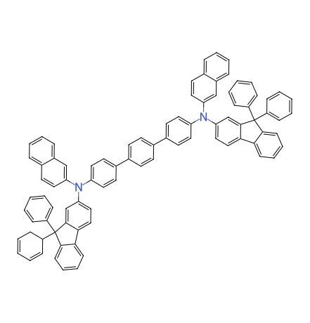 C1=CCC(C2(c3ccccc3)c3ccccc3-c3ccc(N(c4ccc(-c5ccc(-c6ccc(N(c7ccc8c(c7)C(c7ccccc7)(c7ccccc7)c7ccccc7-8)c7ccc8ccccc8c7)cc6)cc5)cc4)c4ccc5ccccc5c4)cc32)C=C1